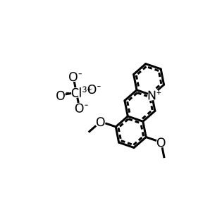 COc1ccc(OC)c2c[n+]3ccccc3cc12.[O-][Cl+3]([O-])([O-])[O-]